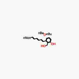 CCCCCCCCCC=CC=CC=Cc1cccc(O)c1CO.CCCCOCCCC